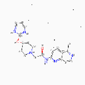 Cc1nccc2nc(NC(=O)CN3CCC(Oc4ncccn4)CC3)ccc12